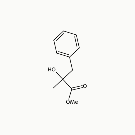 COC(=O)C(C)(O)Cc1ccccc1